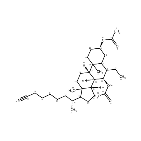 CC[C@@H]1C2C[C@H](OC(C)=O)CCC2(C)[C@H]2CCC3(C)C([C@H](C)CCCCCC#N)CC[C@H]3[C@@H]2[C@@H]1OC(C)=O